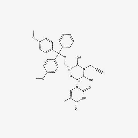 C#CCN1C(O)[C@H](n2cc(C)c(=O)[nH]c2=O)O[C@H](COC(c2ccccc2)(c2ccc(OC)cc2)c2ccc(OC)cc2)C1O